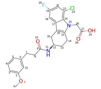 COc1cccc(CCC(=O)N[C@@H]2CCc3c(c4cc(F)cc(Cl)c4n3CC(=O)O)C2)c1